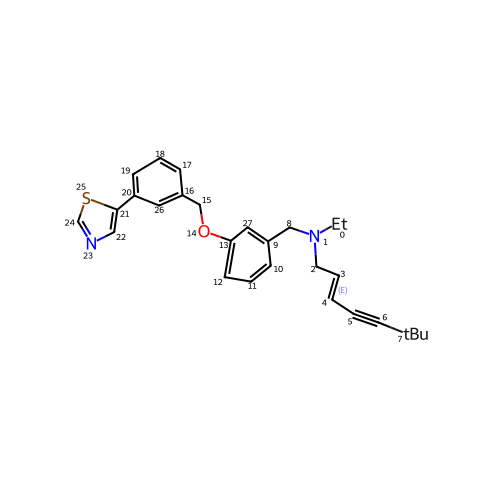 CCN(C/C=C/C#CC(C)(C)C)Cc1cccc(OCc2cccc(-c3cncs3)c2)c1